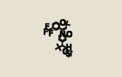 C[SiH](C)OCC(c1ccn(C2=CC(C)(C)Oc3ccc(C(F)(F)F)cc32)c(=O)c1)C(C)(C)C